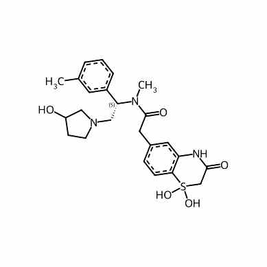 Cc1cccc([C@@H](CN2CCC(O)C2)N(C)C(=O)Cc2ccc3c(c2)NC(=O)CS3(O)O)c1